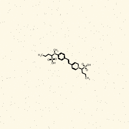 CCCC(N1C=CC(/C=C/c2ccc(N(C)C(CCC)S(=O)(=O)O)cc2)=CC1)S(=O)(=O)O